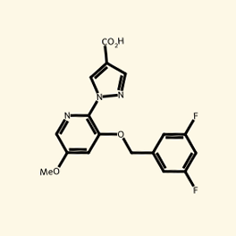 COc1cnc(-n2cc(C(=O)O)cn2)c(OCc2cc(F)cc(F)c2)c1